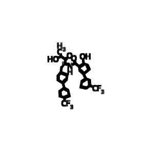 CC(O)C(=O)[C@H](Cc1ccc(-c2ccc(C(F)(F)F)cc2)cc1)NC(=O)c1cc(-c2cccc(C(F)(F)F)c2)ccc1O